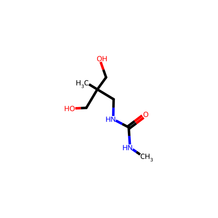 CNC(=O)NCC(C)(CO)CO